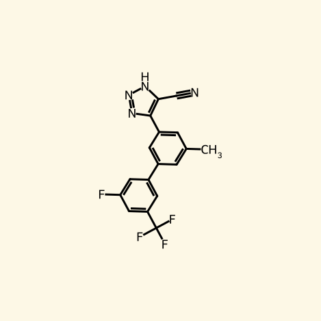 Cc1cc(-c2cc(F)cc(C(F)(F)F)c2)cc(-c2nn[nH]c2C#N)c1